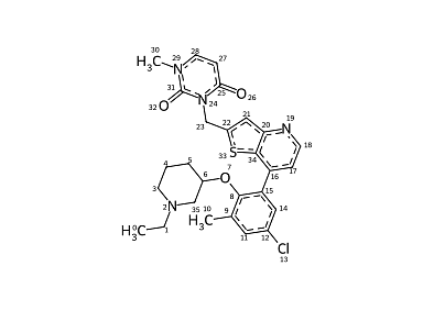 CCN1CCCC(Oc2c(C)cc(Cl)cc2-c2ccnc3cc(Cn4c(=O)ccn(C)c4=O)sc23)C1